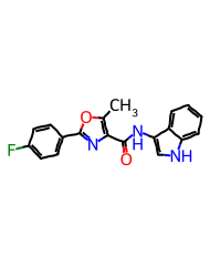 Cc1oc(-c2ccc(F)cc2)nc1C(=O)Nc1c[nH]c2ccccc12